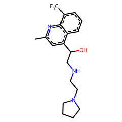 Cc1cc(C(O)CNCCN2CCCC2)c2cccc(C(F)(F)F)c2n1